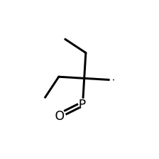 [CH2]C(CC)(CC)P=O